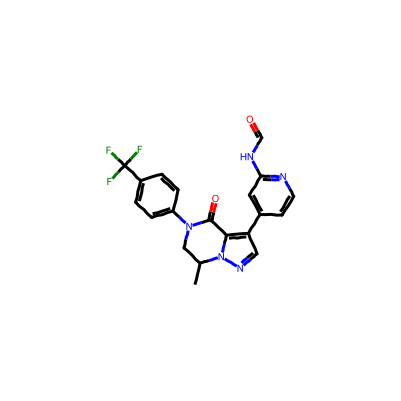 CC1CN(c2ccc(C(F)(F)F)cc2)C(=O)c2c(-c3ccnc(NC=O)c3)cnn21